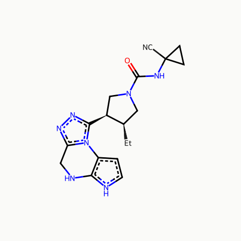 CC[C@@H]1CN(C(=O)NC2(C#N)CC2)C[C@@H]1c1nnc2n1-c1cc[nH]c1NC2